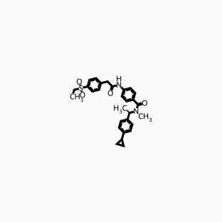 CCS(=O)(=O)c1ccc(CC(=O)Nc2ccc(C(=O)N(C)[C@H](C)c3ccc(C4CC4)cc3)cc2)cc1